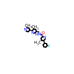 Cc1cc(-c2ncc(CNC(=O)c3cc(C)c(-c4cccc(F)c4)cn3)cc2C)ccn1